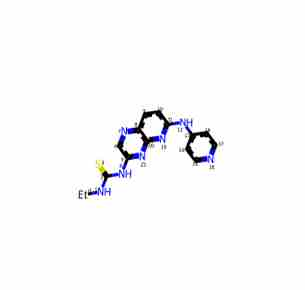 CCNC(=S)Nc1cnc2ccc(Nc3ccncc3)nc2n1